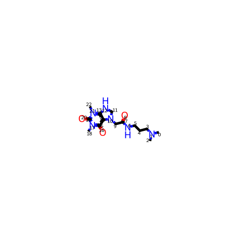 CN(C)CCCNC(=O)CN1CNc2c1c(=O)n(C)c(=O)n2C